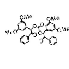 COc1cc(OC)cc(C(OC(=O)OC(C(=O)c2ccccc2)c2cc(OC)cc(OC)c2)C(=O)c2ccccc2)c1